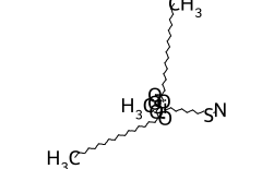 CCCCCCCCCCCCCCCCCC(=O)O[Si](CCCCCCCCSC#N)(OC)OC(=O)CCCCCCCCCCCCCCCCC